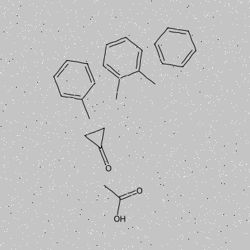 CC(=O)O.Cc1ccccc1.Cc1ccccc1C.O=C1CC1.c1ccccc1